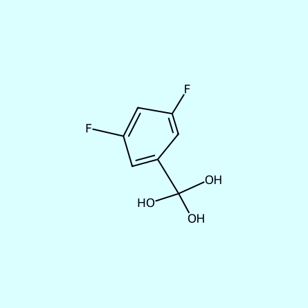 OC(O)(O)c1cc(F)cc(F)c1